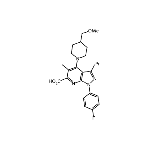 COCC1CCN(c2c(C)c(C(=O)O)nc3c2c(C(C)C)nn3-c2ccc(F)cc2)CC1